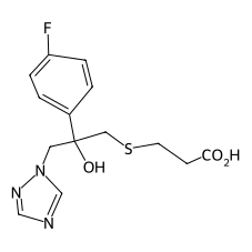 O=C(O)CCSCC(O)(Cn1cncn1)c1ccc(F)cc1